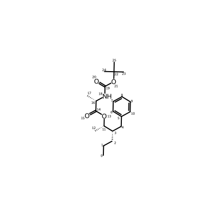 CCC[C@@H](Cc1ccccc1)[C@H](C)OC(=O)[C@H](C)NC(=O)OC(C)(C)C